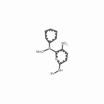 CON(c1ccccc1)c1nc(NC(C)C)ccc1[N+](=O)[O-]